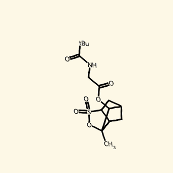 CC(C)(C)C(=O)NCC(=O)OC1C2CC3C(C2)S(=O)(=O)OC31C